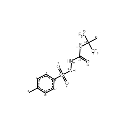 Cc1ccc(S(=O)(=O)NNC(=O)NC(C)(C(F)(F)F)C(F)(F)F)cc1